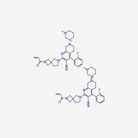 C=CC(=O)N1CC2(CCN(c3nc4c(c(-c5ccccc5F)c3C#N)CCN([C@@H]3CCCN(C)C3)C4)C2)C1.C=CC(=O)N1CC2(CCN(c3nc4c(c(-c5ccccc5F)c3C#N)CCN([C@H]3CCCN(C)C3)C4)C2)C1